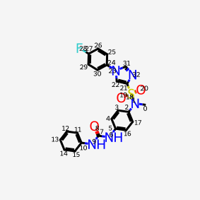 CN(c1ccc(NC(=O)Nc2ccccc2)cc1)S(=O)(=O)c1cn(-c2ccc(F)cc2)cn1